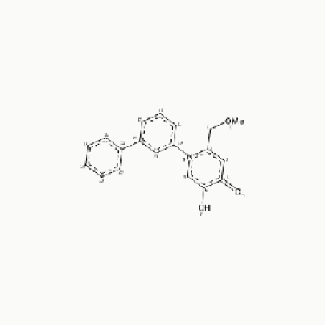 COCc1cc(=O)c(O)cn1-c1cccc(-c2ccccc2)c1